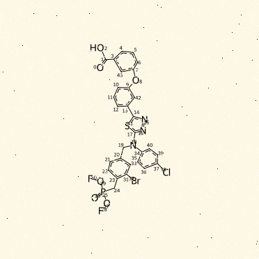 O=C(O)c1cccc(Oc2cccc(-c3nnc(N(Cc4ccc(CP(=O)(OF)OF)c(Br)c4)c4ccc(Cl)cc4)s3)c2)c1